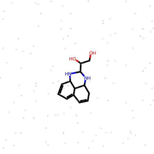 OCC(O)C1NC2C=CC=C3C=CCC(N1)C32